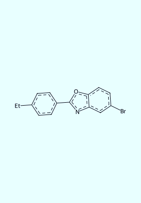 CCc1ccc(-c2nc3cc(Br)ccc3o2)cc1